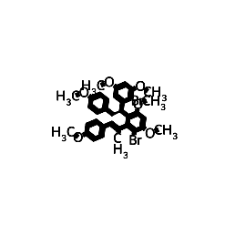 COc1ccc(/C=C(\C)c2c(Br)c(OC)cc(OC)c2[C@@H](Cc2ccc(OC)cc2)c2cc(OC)cc(OC)c2Br)cc1